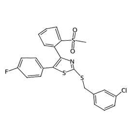 CS(=O)(=O)c1ccccc1-c1nc(SCc2cccc(Cl)c2)sc1-c1ccc(F)cc1